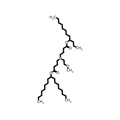 CCCCCCCCC(CCC)OC(=O)CCCN(CCCC(=O)OC(CCCCCCCC)CCCCCCCC)CCOC